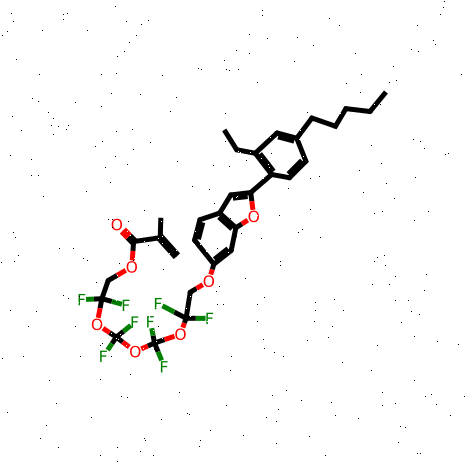 C=C(C)C(=O)OCC(F)(F)OC(F)(F)OC(F)(F)OC(F)(F)COc1ccc2cc(-c3ccc(CCCCC)cc3CC)oc2c1